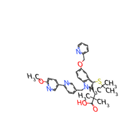 COc1ccc(-c2ccc(Cn3c(CC(C)(C)C(=O)O)c(SC(C)(C)C)c4cc(OCc5ccccn5)ccc43)cn2)cn1